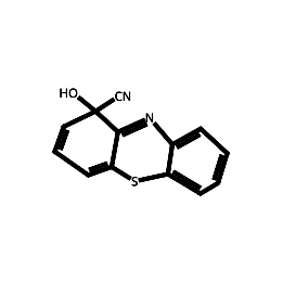 N#CC1(O)C=CC=C2Sc3ccccc3N=C21